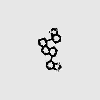 c1cc(-c2cccc3ncoc23)c2c(c1)ccc1c(-c3cccc4ncoc34)cccc12